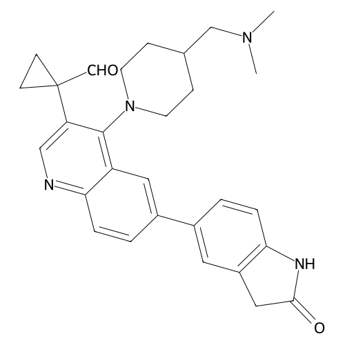 CN(C)CC1CCN(c2c(C3(C=O)CC3)cnc3ccc(-c4ccc5c(c4)CC(=O)N5)cc23)CC1